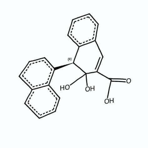 O=C(O)C1=Cc2ccccc2[C@H](c2cccc3ccccc23)C1(O)O